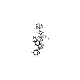 CC(C)(C)OC(=O)N1CC(C(C)(C)Oc2cc(F)cc3c2cnn3C2CCCCO2)C1